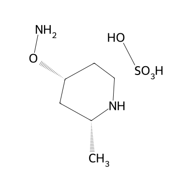 C[C@@H]1C[C@H](ON)CCN1.O=S(=O)(O)O